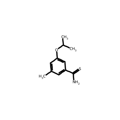 Cc1cc(OC(C)C)cc(C(N)=S)c1